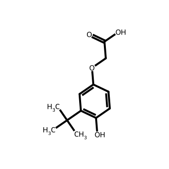 CC(C)(C)c1cc(OCC(=O)O)ccc1O